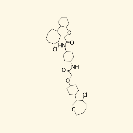 O=C(COC1CCC(C2CCCCCCC2Cl)CC1)N[C@H]1CC[C@H](NC(=O)COC2CCCCC2C2CCCCC(Cl)CC2)CC1